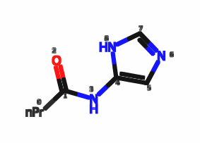 CCCC(=O)Nc1cnc[nH]1